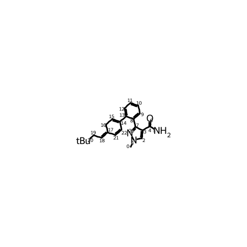 Cn1cc(C(N)=O)c(-c2ccccc2C2=CCC(=CCC(C)(C)C)C=C2)n1